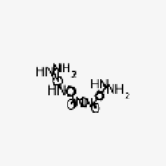 N=C(N)c1ccc(C(=O)N2CCN(C(=O)c3cccc(NC4CCN(C(=N)N)CC4)c3)CC2)cc1